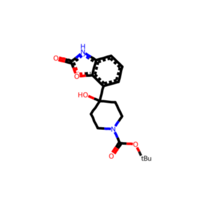 CC(C)(C)OC(=O)N1CCC(O)(c2cccc3[nH]c(=O)oc23)CC1